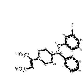 O=C(O)C=C(C(=O)O)N1CCC([C@H](Oc2cccc(F)c2)c2ccccc2)CC1